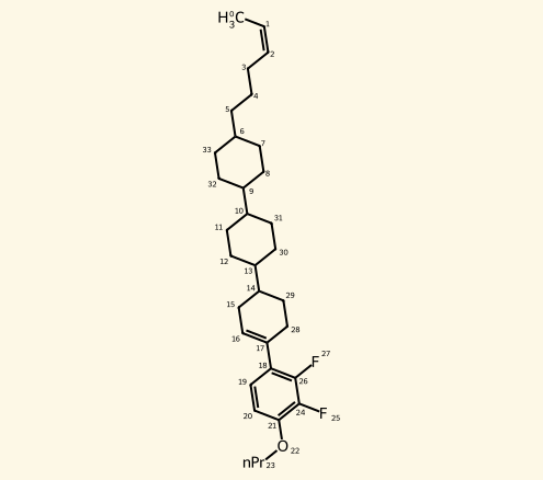 C/C=C\CCCC1CCC(C2CCC(C3CC=C(c4ccc(OCCC)c(F)c4F)CC3)CC2)CC1